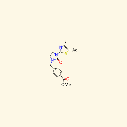 COC(=O)c1ccc(CN2CCN(c3nc(C)c(C(C)=O)s3)C2=O)cc1